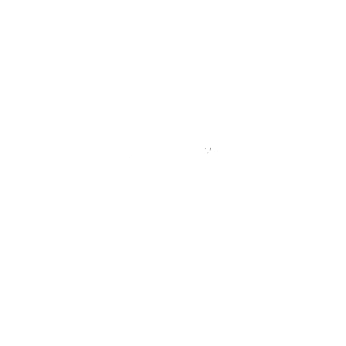 COC1CCSC2=CCCC=C21